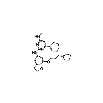 CNc1cc(C2=CCCCC2)nc(Nc2cc3c(c(OCCCN4CCCC4)c2)OCC3)n1